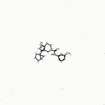 Cc1cccc(NC(=O)N2CCc3[nH]nc(C45CCCC4C5)c3C2)c1